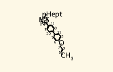 CC=CCOc1ccc(-c2ccc(-c3nnc(CCCCCCC)s3)cc2)cc1